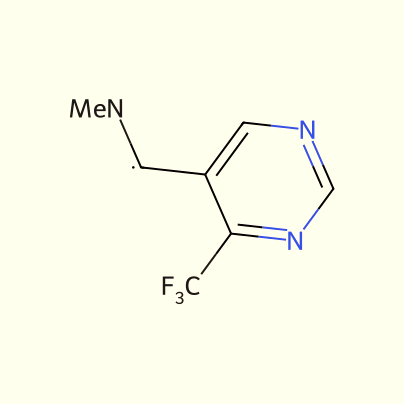 CN[CH]c1cncnc1C(F)(F)F